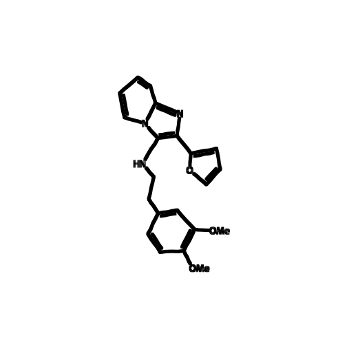 COc1ccc(CCNc2c(-c3ccco3)nc3ccccn23)cc1OC